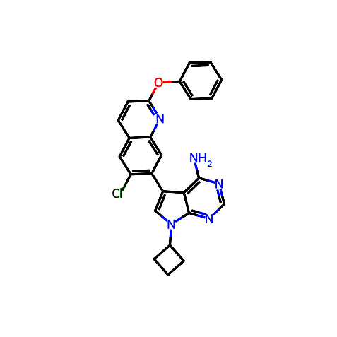 Nc1ncnc2c1c(-c1cc3nc(Oc4ccccc4)ccc3cc1Cl)cn2C1CCC1